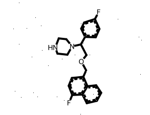 Fc1ccc(C(COCc2ccc(F)c3ccccc23)N2CCNCC2)cc1